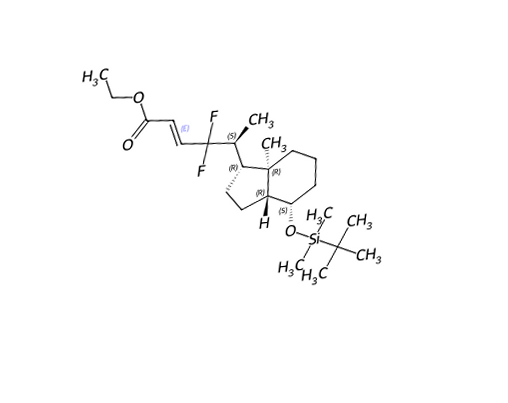 CCOC(=O)/C=C/C(F)(F)[C@@H](C)[C@H]1CC[C@H]2[C@@H](O[Si](C)(C)C(C)(C)C)CCC[C@]12C